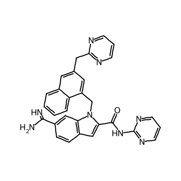 N=C(N)c1ccc2cc(C(=O)Nc3ncccn3)n(Cc3cc(Cc4ncccn4)cc4ccccc34)c2c1